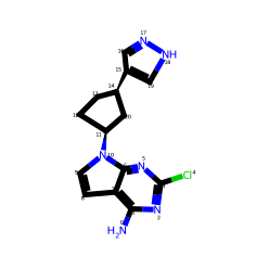 Nc1nc(Cl)nc2c1ccn2[C@H]1CC[C@@H](c2cn[nH]c2)C1